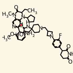 CCC1C(=O)N(C)c2cnc(C3C(OC)=CC=CC3(N)C(=O)NC3(CCO)CCN(CC4CN(c5ccc(C6CCC(=O)NC6=O)cc5F)C4)CC3)nc2N1C1CCCC1